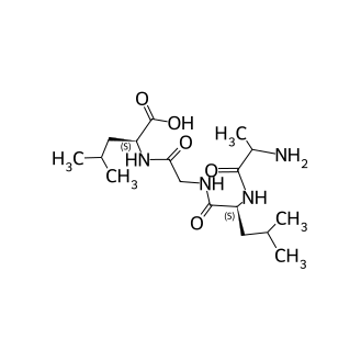 CC(C)C[C@H](NC(=O)CNC(=O)[C@H](CC(C)C)NC(=O)C(C)N)C(=O)O